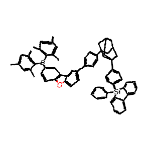 Cc1cc(C)c(B(c2ccc3oc4ccc(-c5ccc(C67CC8CC(C6)CC(c6ccc([Si]9(c%10ccccc%10)c%10ccccc%10-c%10ccccc%109)cc6)(C8)C7)cc5)cc4c3c2)c2c(C)cc(C)cc2C)c(C)c1